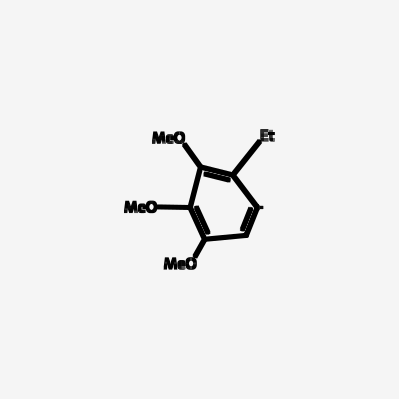 CCc1[c]cc(OC)c(OC)c1OC